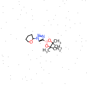 CC1(C)OB(c2cn(C3CCCCO3)nn2)OC1(C)C